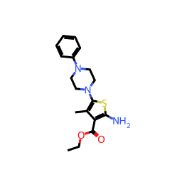 CCOC(=O)c1c(N)sc(N2CCN(c3ccccc3)CC2)c1C